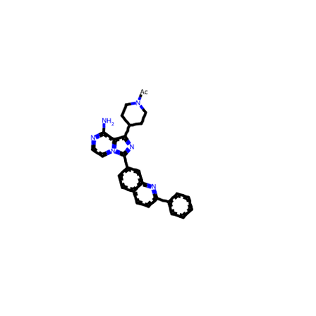 CC(=O)N1CCC(c2nc(-c3ccc4ccc(-c5ccccc5)nc4c3)n3ccnc(N)c23)CC1